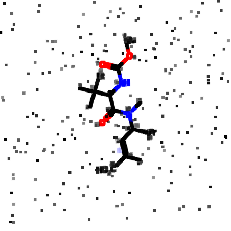 CCC(C)(C)C(NC(=O)OC(C)(C)C)C(=O)N(C)[C@H](/C=C(\C)C(=O)O)C(C)C